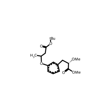 COC(=O)[C@H](Cc1cccc(OC(C)CC(=O)OC(C)(C)C)c1)OC